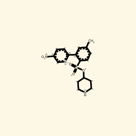 Cc1ccc(S(=O)(=O)OC2CCNCC2)c(-c2ccc([N+](=O)[O-])cn2)c1